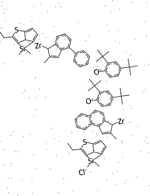 CC(C)(C)c1ccc([O-])c(C(C)(C)C)c1.CC(C)(C)c1ccc([O-])c(C(C)(C)C)c1.CC1=Cc2c(-c3ccccc3)cccc2[CH]1[Zr].CC1=Cc2c(ccc3ccccc23)[CH]1[Zr].CCC1=C2C3C(=CC=C3[Si]2(C)C)S1.CCC1=C2C3C(=CC=C3[Si]2(C)C)S1.[Cl-]